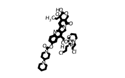 CCc1c2c(nc3ccc(OC(=O)N4CCC(N5CCCCC5)CC4)cc13)-c1cc3c(c(=O)n1C2)COC(=O)[C@]3(O)CC.O=P1(NCCCl)OCCCN1CCCl